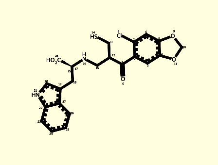 O=C(c1cc2c(cc1Cl)OCO2)C(CS)CN[C@@H](Cc1c[nH]c2ccccc12)C(=O)O